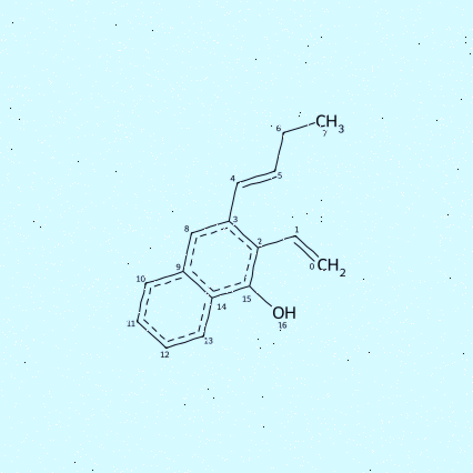 C=Cc1c(C=CCC)cc2ccccc2c1O